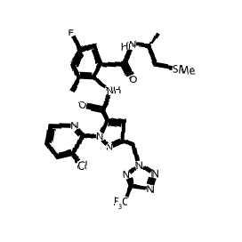 CSC[C@H](C)NC(=O)c1cc(F)cc(C)c1NC(=O)c1cc(Cn2nnc(C(F)(F)F)n2)nn1-c1ncccc1Cl